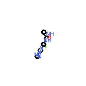 O=C1Nc2ccccc2C1=CNc1ccc(N2CCN(c3ncccn3)CC2)c(F)c1